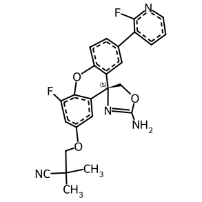 CC(C)(C#N)COc1cc(F)c2c(c1)[C@]1(COC(N)=N1)c1cc(-c3cccnc3F)ccc1O2